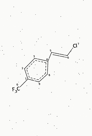 FC(F)(F)c1ccc(C=CCl)cc1